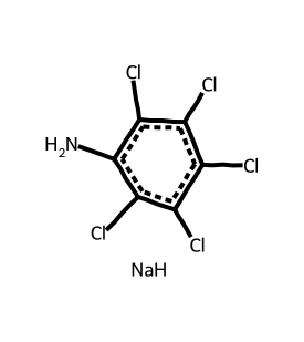 Nc1c(Cl)c(Cl)c(Cl)c(Cl)c1Cl.[NaH]